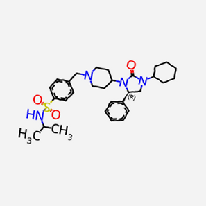 CC(C)NS(=O)(=O)c1ccc(CN2CCC(N3C(=O)N(C4CCCCC4)C[C@H]3c3ccccc3)CC2)cc1